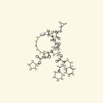 O=C(N[C@H]1CCCCC/C=C\[C@@H]2C[C@@]2(C(=O)NSC2CC2)NC(=O)[C@@H]2C[C@@H](OC(=O)N3CCc4ccccc4[C@H]3CN3CCCCC3)CN2C1=O)OC1CCCC1